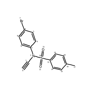 C#CN(c1ccc(Br)cc1)S(=O)(=O)c1ccc(C)cc1